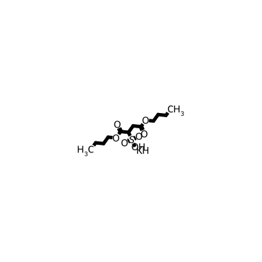 CCCCOC(=O)CC(C(=O)OCCCC)S(=O)(=O)O.[KH]